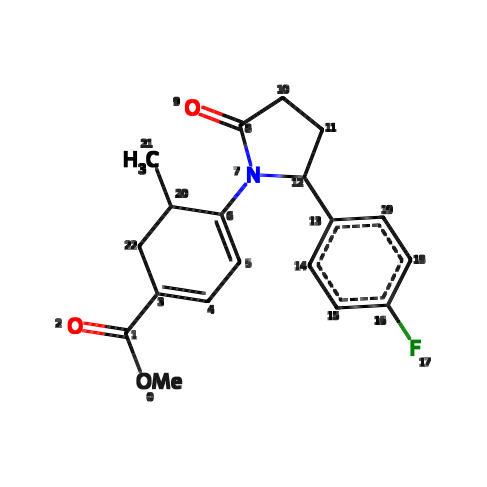 COC(=O)C1=CC=C(N2C(=O)CCC2c2ccc(F)cc2)C(C)C1